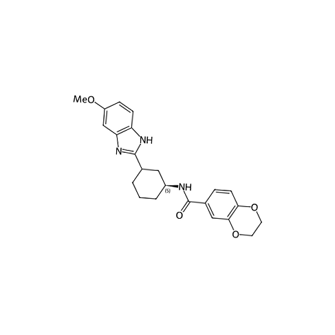 COc1ccc2[nH]c(C3CCC[C@H](NC(=O)c4ccc5c(c4)OCCO5)C3)nc2c1